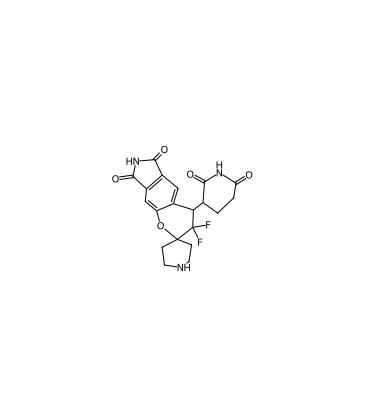 O=C1CCC(C2c3cc4c(cc3OC3(CCNCC3)C2(F)F)C(=O)NC4=O)C(=O)N1